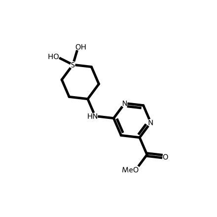 COC(=O)c1cc(NC2CCS(O)(O)CC2)ncn1